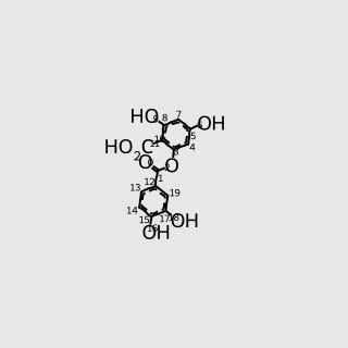 O=C(Oc1cc(O)cc(O)c1C(=O)O)c1ccc(O)c(O)c1